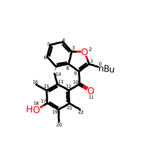 CCCCc1oc2ccccc2c1C(=O)c1c(C)c(C)c(O)c(C)c1C